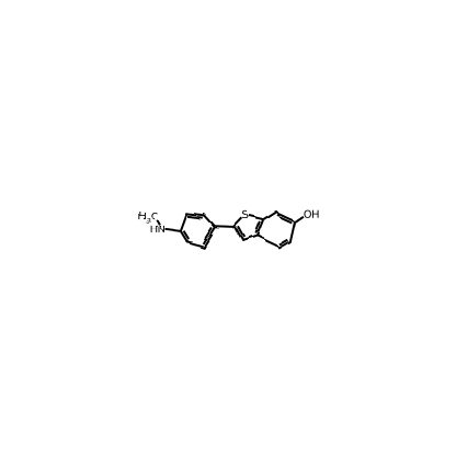 CNc1ccc(-c2cc3ccc(O)cc3s2)cc1